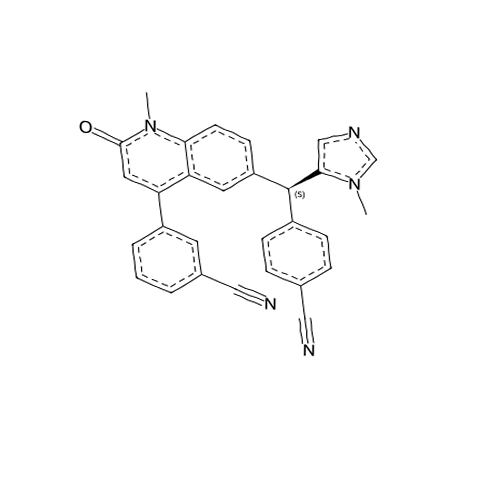 Cn1cncc1[C@@H](c1ccc(C#N)cc1)c1ccc2c(c1)c(-c1cccc(C#N)c1)cc(=O)n2C